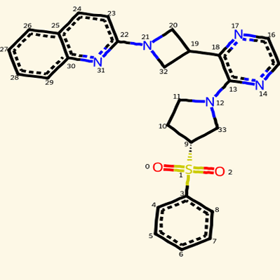 O=S(=O)(c1ccccc1)[C@@H]1CCN(c2nccnc2C2CN(c3ccc4ccccc4n3)C2)C1